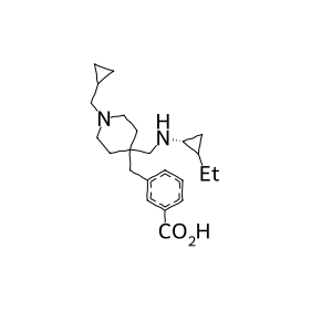 CCC1C[C@H]1NCC1(Cc2cccc(C(=O)O)c2)CCN(CC2CC2)CC1